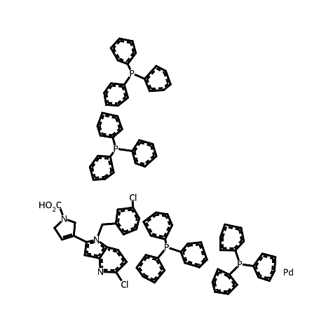 O=C(O)N1CC=C(c2cc3nc(Cl)ccc3n2Cc2cccc(Cl)c2)C1.[Pd].c1ccc(P(c2ccccc2)c2ccccc2)cc1.c1ccc(P(c2ccccc2)c2ccccc2)cc1.c1ccc(P(c2ccccc2)c2ccccc2)cc1.c1ccc(P(c2ccccc2)c2ccccc2)cc1